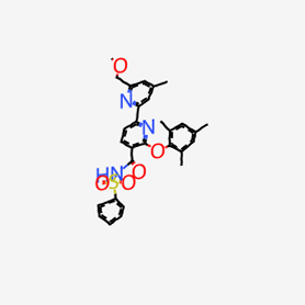 COCc1cc(C)cc(-c2ccc(C(=O)NS(=O)(=O)c3ccccc3)c(Oc3c(C)cc(C)cc3C)n2)n1